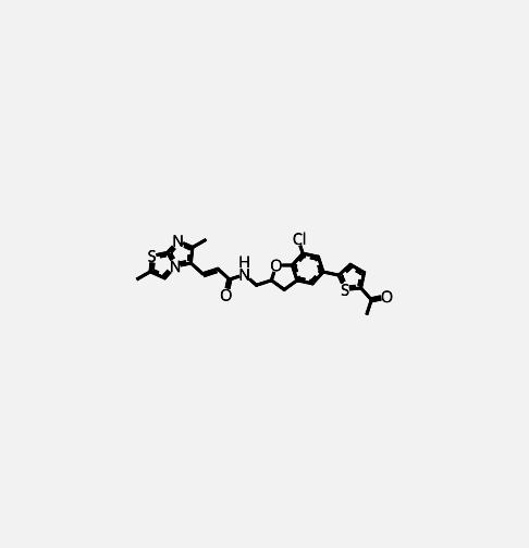 CC(=O)c1ccc(-c2cc(Cl)c3c(c2)CC(CNC(=O)C=Cc2c(C)nc4sc(C)cn24)O3)s1